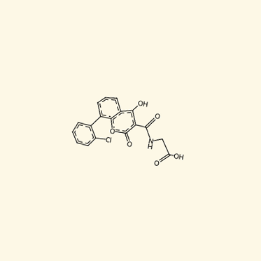 O=C(O)CNC(=O)c1c(O)c2cccc(-c3ccccc3Cl)c2oc1=O